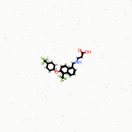 O=C(O)CCNCc1cccc2c(C(F)(F)F)c(OC3CCC(C(F)(F)F)CC3)ccc12